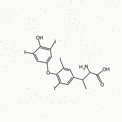 CC(c1cc(I)c(Oc2cc(I)c(O)c(I)c2)c(I)c1)C(N)C(=O)O